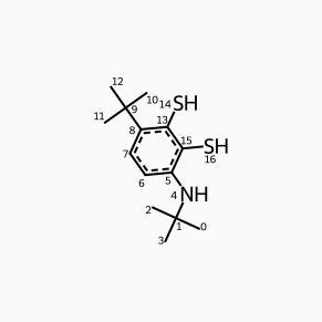 CC(C)(C)Nc1ccc(C(C)(C)C)c(S)c1S